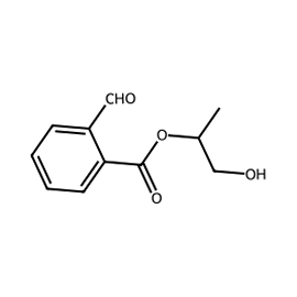 CC(CO)OC(=O)c1ccccc1C=O